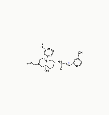 C=CCN1CCC2(c3cccc(OC)c3)CC(NC(=O)/C=C/c3cccc(O)c3)CCC2(O)C1